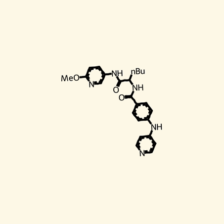 CCCCC(NC(=O)c1ccc(Nc2ccncc2)cc1)C(=O)Nc1ccc(OC)nc1